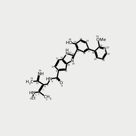 CCN/C(C)=C(/CNC(=O)c1ccc2[nH]c(-c3cc(-c4cccnc4OC)ccc3O)nc2c1)C(C)=N